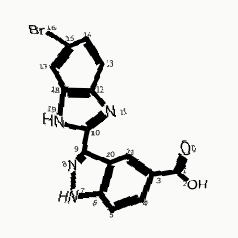 O=C(O)c1ccc2[nH]nc(-c3nc4ccc(Br)cc4[nH]3)c2c1